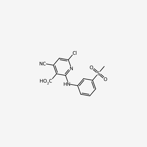 CS(=O)(=O)c1cccc(Nc2nc(Cl)cc(C#N)c2C(=O)O)c1